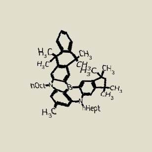 CCCCCCCCN1c2cc3c(cc2B2c4cc5c(cc4N(CCCCCCC)c4cc(C)cc1c42)C(C)(C)CC5(C)C)C(C)(C)c1ccccc1C3(C)C